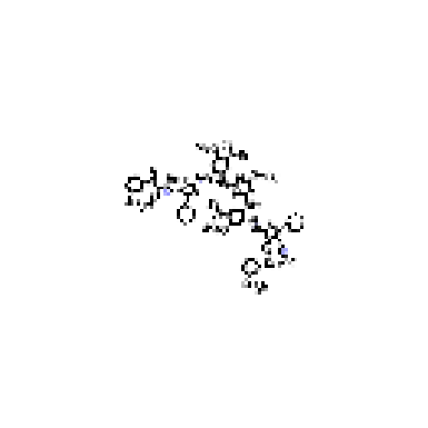 CCCCSc1nc(Nc2cc(N(CC)CC)c(OC)cc2/N=N/c2nc(N3CCCCC3)c(/C=C(/C(C)=O)C(=O)Nc3cccc(S(=O)(=O)O)c3)s2)nc(Nc2cc(N(CC)CC)c(OC)cc2/N=N/c2nc(N3CCCCC3)c(/C=C(\C(C)=O)C(=O)Nc3cccc(S(=O)(=O)O)c3)s2)n1